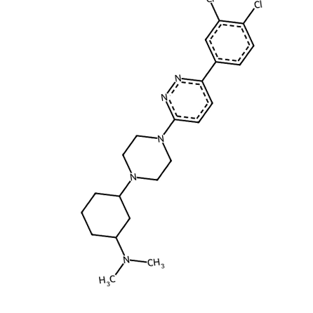 CN(C)C1CCCC(N2CCN(c3ccc(-c4ccc(Cl)c(Cl)c4)nn3)CC2)C1